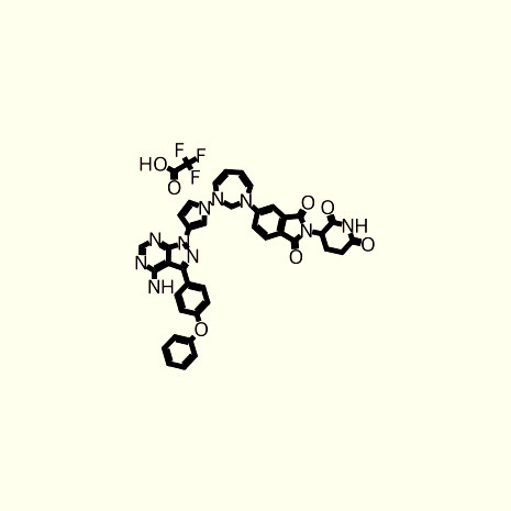 Nc1ncnc2c1c(-c1ccc(Oc3ccccc3)cc1)nn2-c1ccn(N2C=CC=CN(c3ccc4c(c3)C(=O)N(C3CCC(=O)NC3=O)C4=O)C2)c1.O=C(O)C(F)(F)F